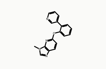 Cn1cnc2ccc(Oc3ccccc3-c3cccnc3)nc21